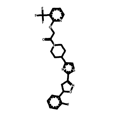 O=C(COc1ncccc1C(F)(F)F)N1CCC(c2csc(C3=NOC(c4[c]cccc4F)C3)n2)CC1